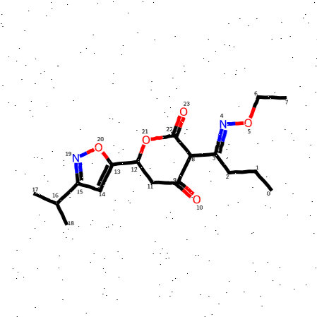 CCCC(=NOCC)C1C(=O)CC(c2cc(C(C)C)no2)OC1=O